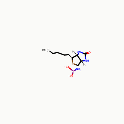 NP(O)O.O=C(O)CCCC[C@@H]1SC[C@@H]2NC(=O)N[C@@H]21